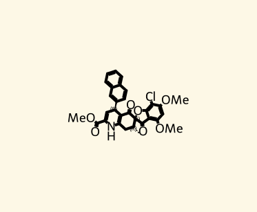 COC(=O)C1=C[C@@H](c2ccc3ccccc3c2)C2=C(C[C@@H](C)[C@]3(Oc4c(Cl)c(OC)cc(OC)c4C3=O)C2=O)N1